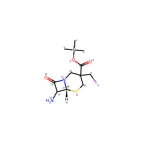 C[Si](C)(C)OC(=O)C1(CI)CS[C@@H]2C(N)C(=O)N2C1